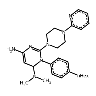 CCCCCCc1ccc(N2C(N3CCN(c4ccccn4)CC3)=NC(N)=CC2N(C)C)cc1